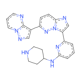 c1cc(NC2CCNCC2)nc(-c2cnc3ccc(-c4cnn5cccnc45)nn23)c1